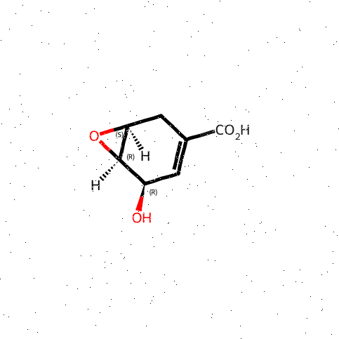 O=C(O)C1=C[C@@H](O)[C@H]2O[C@H]2C1